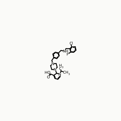 CC(C)N1C=CC=C(C(=O)O)C1N1CCN(Cc2ccc(CNCc3c(F)cccc3Cl)cc2)CC1